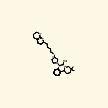 CC1(C)CCC(c2ccccc2[C@H](C(=O)O)N2CC[C@@H](OCCCCc3ccc4c(n3)NCCC4)C2)OC1